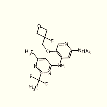 CC(=O)Nc1cc(Nc2cc(C)nc(C(C)(F)F)n2)c(OCC2(F)COC2)cn1